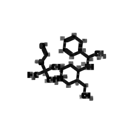 CC(C)(C)OC=O.CCC1CNCCC1NC(C)c1ccccc1